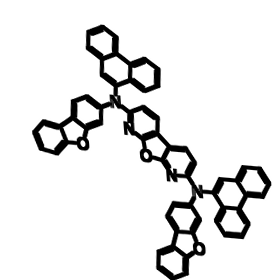 c1ccc2c(c1)cc(N(c1ccc3c(c1)oc1ccccc13)c1ccc3c(n1)oc1nc(N(c4ccc5c(c4)oc4ccccc45)c4cc5ccccc5c5ccccc45)ccc13)c1ccccc12